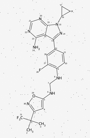 CC(C)(c1cc(NCNc2ccc(-c3nn(C4CC4)c4ncnc(N)c34)cc2F)on1)C(F)(F)F